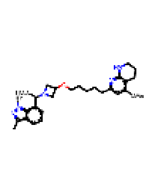 COc1cc(CCCCCOC2CN(C(C(=O)O)c3cccc4c(C)nn(C(C)C)c34)C2)nc2c1CCCN2